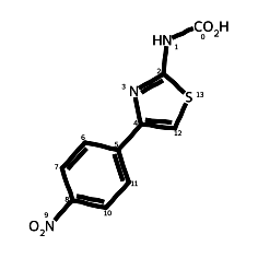 O=C(O)Nc1nc(-c2ccc([N+](=O)[O-])cc2)cs1